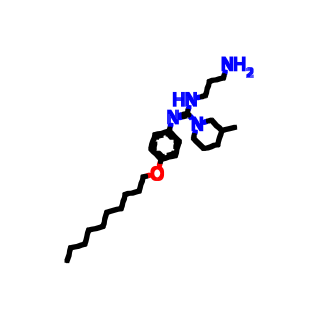 CCCCCCCCCCOc1ccc(/N=C(/NCCCN)N2CCCC(C)C2)cc1